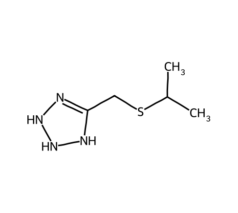 CC(C)SCC1=NNNN1